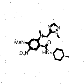 CNc1cc(N(C)Cc2ncnn2C)c(C(=O)N[C@H]2CC[C@H](C)CC2)cc1[N+](=O)[O-]